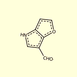 O=[C]c1c[nH]c2ccoc12